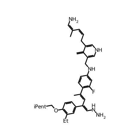 C=C1C(C/C=C\C(C)=C/N)=CNC=C1CNc1ccc(/C(C)=C/C(=C\NN)c2ccc(OCC(C)CCC)c(CC)c2)c(F)c1